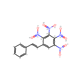 O=[N+]([O-])c1cc(C=Cc2ccccc2)c([N+](=O)[O-])c([N+](=O)[O-])c1[N+](=O)[O-]